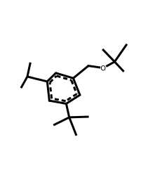 CC(C)c1cc(COC(C)(C)C)cc(C(C)(C)C)c1